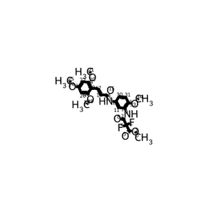 COC(=O)C(F)(F)C(=O)Nc1cc(NC(=O)C=Cc2c(OC)cc(OC)cc2OC)ccc1OC